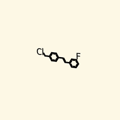 Fc1cccc(C=Cc2ccc(CCl)cc2)c1